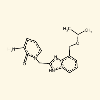 CC(C)OCc1cccc2[nH]c(Cn3cccc(N)c3=O)nc12